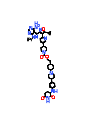 CC(C)n1nc(-c2noc(C3CC3)c2-c2ccc(C3CCN(C(=O)OCCC4CCC(N5CCC(c6ccc(NC7CCC(=O)NC7=O)cc6)CC5)CC4)CC3)cn2)c2c(N)ncnc21